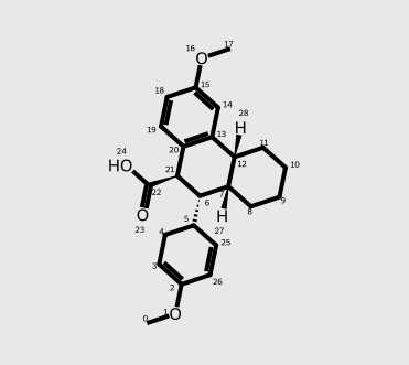 COC1=CCC([C@H]2[C@H]3CCCC[C@H]3c3cc(OC)ccc3[C@@H]2C(=O)O)C=C1